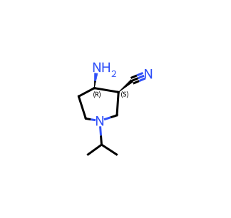 CC(C)N1CC[C@@H](N)[C@@H](C#N)C1